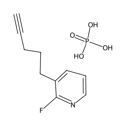 C#CCCCc1cccnc1F.O=P(O)(O)O